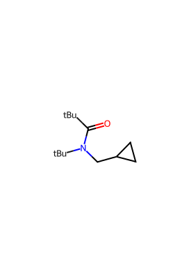 CC(C)(C)C(=O)N(CC1CC1)C(C)(C)C